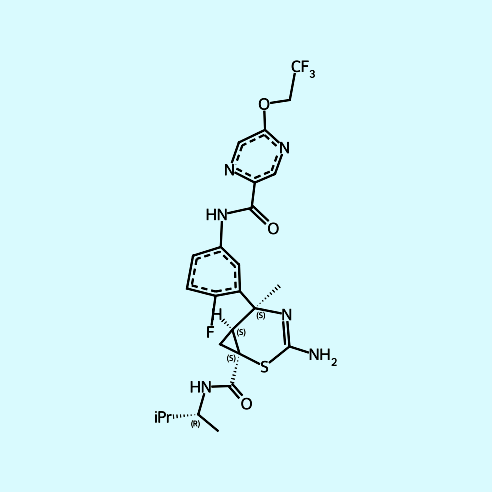 CC(C)[C@@H](C)NC(=O)[C@]12C[C@H]1[C@@](C)(c1cc(NC(=O)c3cnc(OCC(F)(F)F)cn3)ccc1F)N=C(N)S2